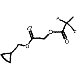 CC(F)(F)C(=O)OCC(=O)OCC1CC1